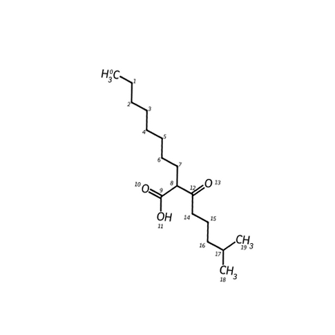 CCCCCCCCC(C(=O)O)C(=O)CCCC(C)C